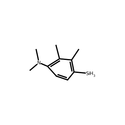 Cc1c([SiH3])ccc(N(C)C)c1C